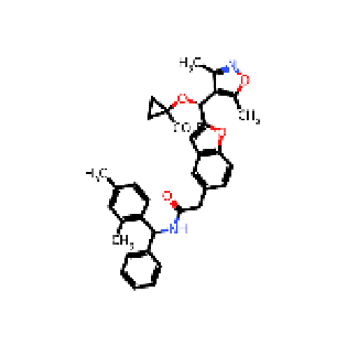 CCOC(=O)C1(O[C@H](c2cc3cc(CC(=O)N[C@@H](c4ccccc4)c4ccc(C)cc4C)ccc3o2)c2c(C)noc2C)CC1